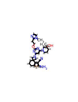 Cn1ccnc1CCOc1nc(N2CC3(CCCc4sc(N)c(C#N)c43)C2)cc(N2CCC[C@@](C)(O)C2)n1